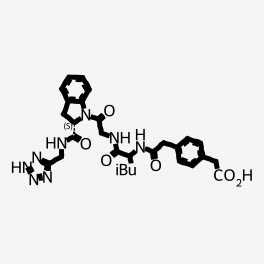 CCC(C)C(NC(=O)Cc1ccc(CC(=O)O)cc1)C(=O)NCC(=O)N1c2ccccc2C[C@H]1C(=O)NCc1nn[nH]n1